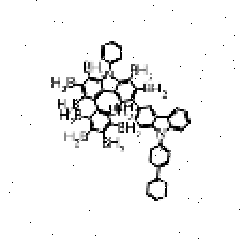 Bc1c(B)c(B)c(-c2c(B)c(B)c(B)c3c2c2c(B)c(-c4ccc5c(c4)c4ccccc4n5-c4ccc(-c5ccccc5)cc4)c(B)c(B)c2n3-c2ccccc2)c(B)c1B